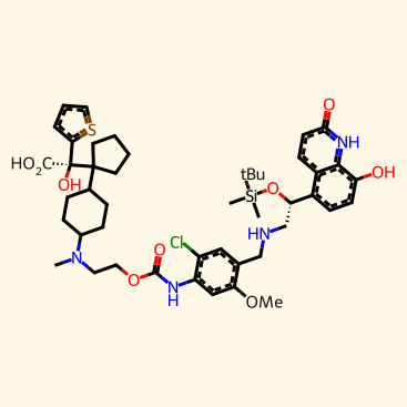 COc1cc(NC(=O)OCCN(C)C2CCC(C3([C@](O)(C(=O)O)c4cccs4)CCCC3)CC2)c(Cl)cc1CNC[C@H](O[Si](C)(C)C(C)(C)C)c1ccc(O)c2[nH]c(=O)ccc12